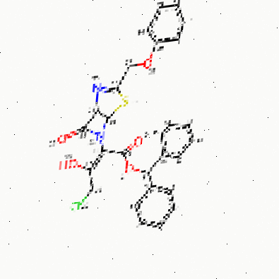 O=C(OC(c1ccccc1)c1ccccc1)C(=C(O)CCl)N1C(=O)C2N=C(COc3ccccc3)SC21